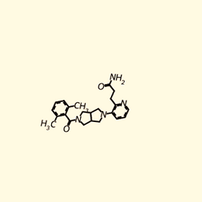 Cc1cccc(C)c1C(=O)N1CC2CN(c3cccnc3CCC(N)=O)CC2C1